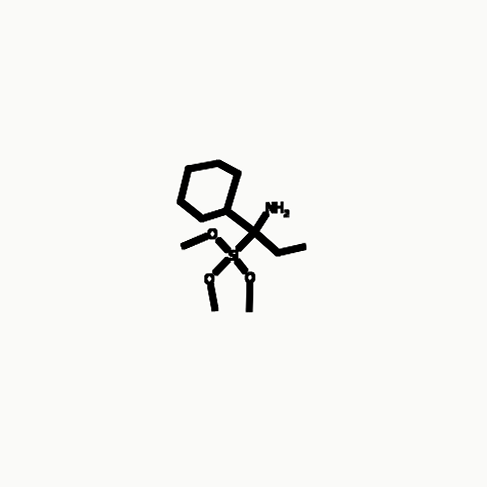 CCC(N)(C1CCCCC1)[Si](OC)(OC)OC